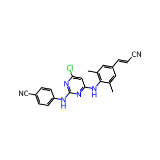 Cc1cc(/C=C/C#N)cc(C)c1Nc1cc(Cl)nc(Nc2ccc(C#N)cc2)n1